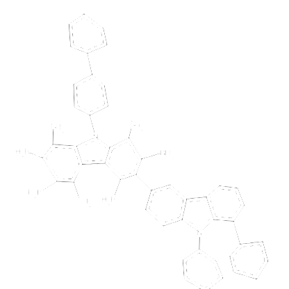 Bc1c(B)c(B)c2c(c1B)c1c(B)c(-c3ccc4c(c3)c3cccc(-c5ccccc5)c3n4-c3ccccc3)c(B)c(B)c1n2-c1ccc(-c2ccccc2)cc1